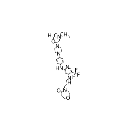 CN(C)CC(=O)N1CCN(c2ccc(Nc3cc(NCCCN4CCOCCC4=O)c(C(F)(F)F)cn3)cc2)CC1